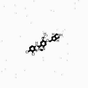 COc1cc2c(Nc3ccc(Cl)c(Cl)c3F)ncnc2cc1OCC1C[C@H]2CNC[C@H]2C1